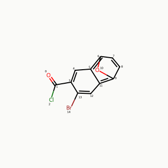 O=C(Cl)c1cc2c3ccc(o3)c2cc1Br